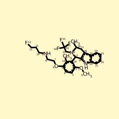 COc1ccc(OCCNCCCF)c(C)c1C1c2[nH]c3ccccc3c2CC(C)N1CC(F)(F)F